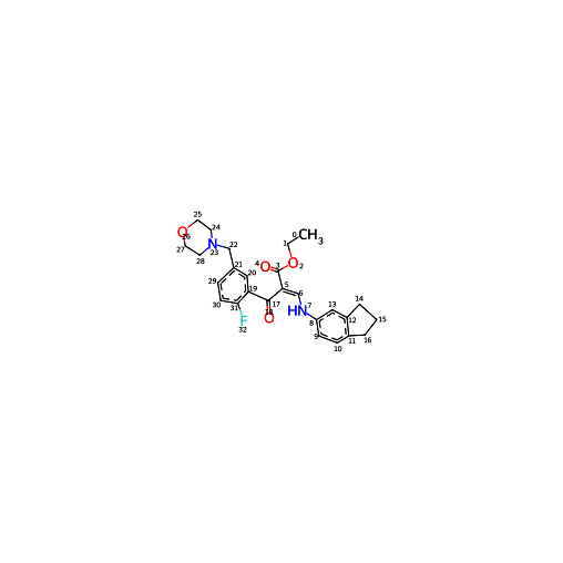 CCOC(=O)/C(=C/Nc1ccc2c(c1)CCC2)C(=O)c1cc(CN2CCOCC2)ccc1F